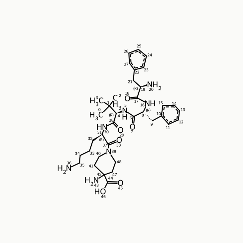 CC(C)(C)[C@@H](NC(=O)[C@@H](Cc1ccccc1)NC(=O)[C@H](N)Cc1ccccc1)C(=O)N[C@H](CCCCN)C(=O)N1CCC(N)(C(=O)O)CC1